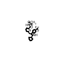 CS(=O)(=O)NC(=O)c1cccc(Cc2c(-c3ccccc3)[nH]c3cc(C(F)(F)F)ccc23)n1